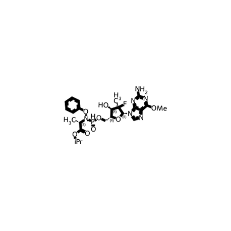 COc1nc(N)nc2c1ncn2[C@@H]1O[C@H](CO[PH](=O)N(Oc2ccccc2)[C@@H](C)C(=O)OC(C)C)[C@@H](O)[C@@]1(C)F